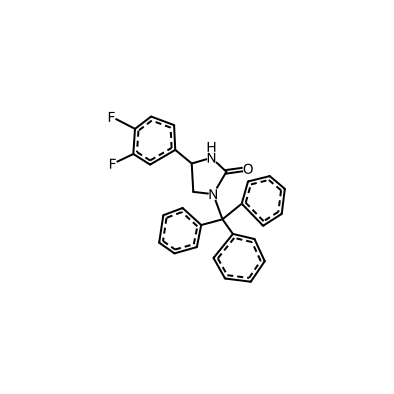 O=C1NC(c2ccc(F)c(F)c2)CN1C(c1ccccc1)(c1ccccc1)c1ccccc1